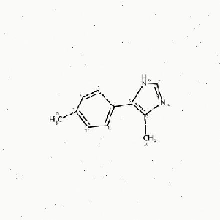 Cc1ccc(-c2[nH]cnc2C)cc1